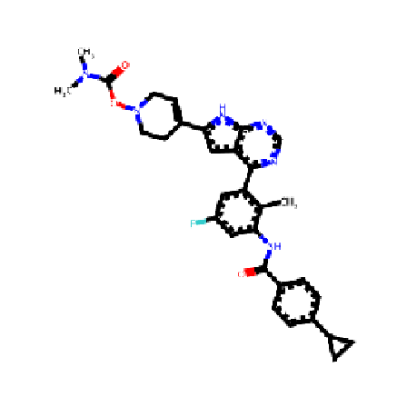 Cc1c(NC(=O)c2ccc(C3CC3)cc2)cc(F)cc1-c1ncnc2[nH]c(C3=CCN(OC(=O)N(C)C)CC3)cc12